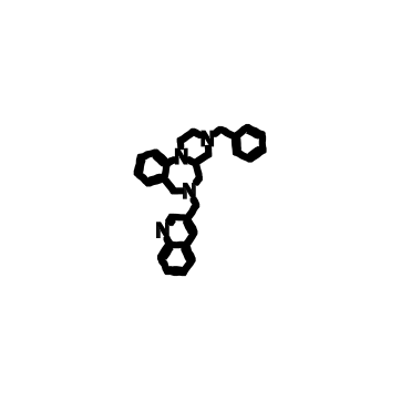 c1ccc(CN2CCN3c4ccccc4CN(Cc4cnc5ccccc5c4)CC3C2)cc1